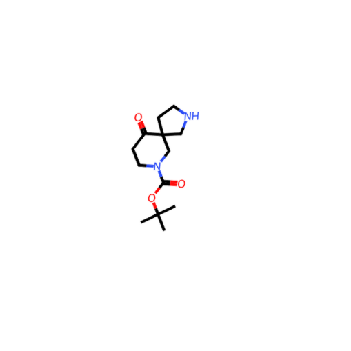 CC(C)(C)OC(=O)N1CCC(=O)C2(CCNC2)C1